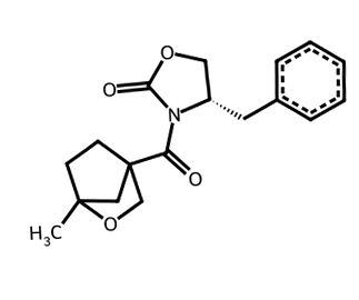 CC12CCC(C(=O)N3C(=O)OC[C@@H]3Cc3ccccc3)(CO1)C2